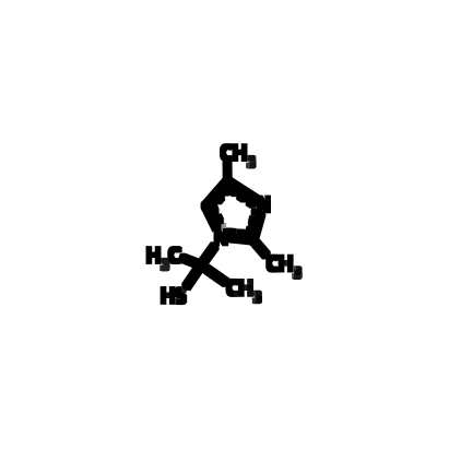 Cc1cn(C(C)(C)S)c(C)n1